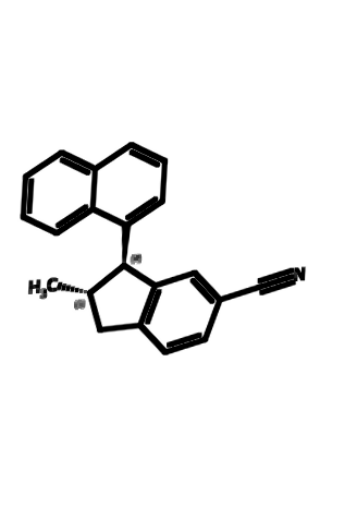 C[C@H]1Cc2ccc(C#N)cc2[C@@H]1c1cccc2ccccc12